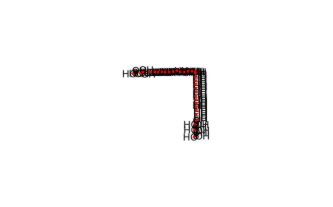 OB(O)O.OB(O)O.OB(O)O.OB(O)O.OB(O)O.[LiH].[LiH].[LiH].[LiH].[LiH].[LiH].[LiH].[LiH].[LiH].[LiH].[LiH].[LiH].[LiH].[LiH].[LiH].[LiH].[LiH].[LiH].[LiH].[LiH].[LiH].[LiH].[LiH].[LiH].[LiH].[LiH].[LiH].[LiH].[LiH].[LiH].[LiH].[LiH].[LiH].[LiH].[LiH].[LiH].[LiH].[LiH].[LiH].[LiH].[LiH].[LiH].[LiH].[LiH].[LiH].[LiH].[LiH].[LiH].[LiH].[LiH].[LiH].[LiH]